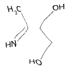 CC=N.OCCO